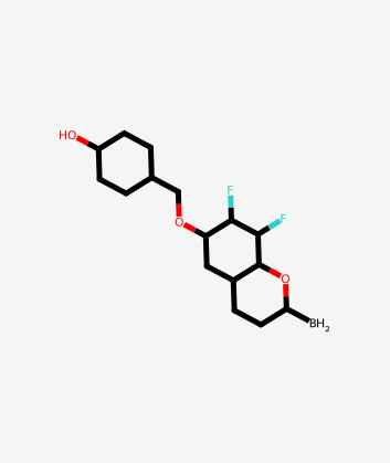 BC1CCC2CC(OCC3CCC(O)CC3)C(F)C(F)C2O1